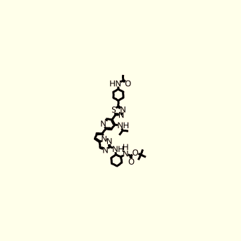 CC(=O)NC1CCC(c2nnc(-c3cnc(-c4ccc5cnc(NC6CCCCC6NC(=O)OC(C)(C)C)nn45)cc3NC(C)C)s2)CC1